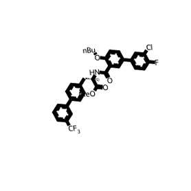 CCCCOc1ccc(-c2ccc(F)c(Cl)c2)cc1C(=O)N[C@@H](Cc1ccc(-c2cccc(C(F)(F)F)c2)cc1)C(=O)OC